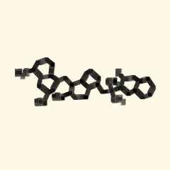 Cc1cccc2c(Cc3c(C(C)(C)C)ccc4c(CC(C)(C)c5cc6ccccc6cc5F)cccc34)cc(C(C)(C)C)cc12